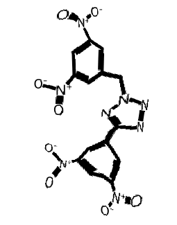 O=[N+]([O-])c1cc(Cn2nnc(-c3cc([N+](=O)[O-])cc([N+](=O)[O-])c3)n2)cc([N+](=O)[O-])c1